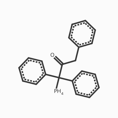 O=C(Cc1ccccc1)C([PH4])(c1ccccc1)c1ccccc1